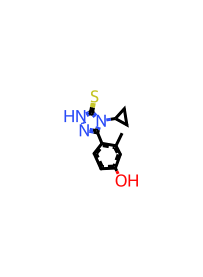 Cc1cc(O)ccc1-c1n[nH]c(=S)n1C1CC1